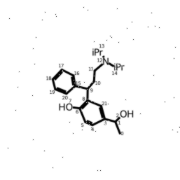 CC(O)c1ccc(O)c(C(CCN(C(C)C)C(C)C)c2ccccc2)c1